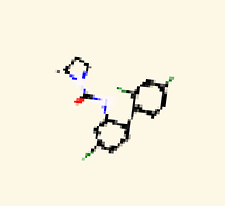 O=C(O)[C@H]1CCN1C(=O)Nc1cc(Cl)ccc1-c1ccc(F)cc1F